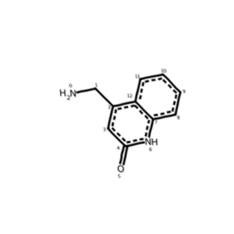 NCc1cc(=O)[nH]c2ccccc12